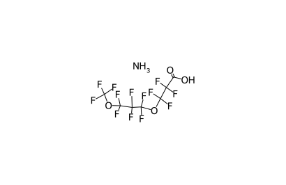 N.O=C(O)C(F)(F)C(F)(F)OC(F)(F)C(F)(F)C(F)(F)OC(F)(F)F